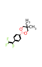 CC1(C)COB(c2ccc(C(F)=C(F)F)cc2)OC1